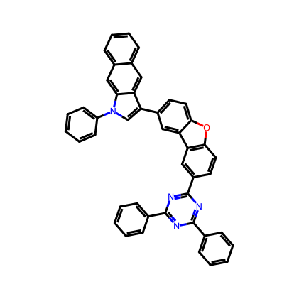 c1ccc(-c2nc(-c3ccccc3)nc(-c3ccc4oc5ccc(-c6cn(-c7ccccc7)c7cc8ccccc8cc67)cc5c4c3)n2)cc1